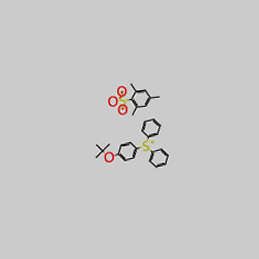 CC(C)(C)Oc1ccc([S+](c2ccccc2)c2ccccc2)cc1.Cc1cc(C)c(S(=O)(=O)[O-])c(C)c1